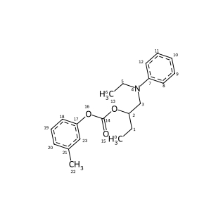 CCC(CN(CC)c1ccccc1)OC(=O)Oc1cccc(C)c1